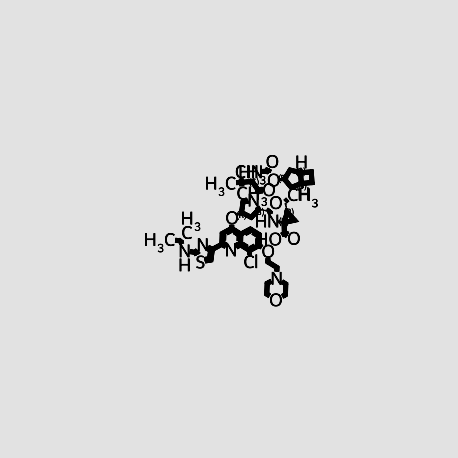 CC[C@@H]1C[C@]1(NC(=O)[C@@H]1C[C@@H](Oc2cc(-c3csc(NC(C)C)n3)nc3c(Cl)c(OCCN4CCOCC4)ccc23)CN1C(=O)[C@@H](NC(=O)O[C@H]1C[C@H]2CC[C@H]2C1)C(C)(C)C)C(=O)O